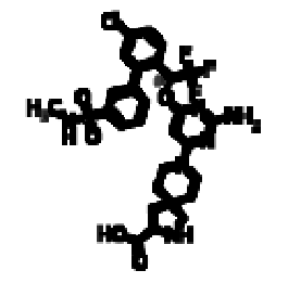 CNS(=O)(=O)c1cccc(-c2cc(Cl)ccc2[C@@H](Oc2cc(N3CCC4(CC3)CNC(C(=O)O)C4)nc(N)n2)C(F)(F)F)c1